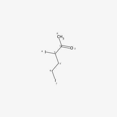 CC(=O)C(I)CCI